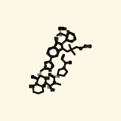 C=CC(=O)N1CC[C@H](C(=O)N(C)[C@H](C(=O)N[C@@H](Cn2cc(-c3ccc4c(c3)c(CC(C)(C)COC=O)c(-c3cccnc3[C@H](C)OC)n4CC)cn2)C(=O)N2CCCCN2)C(C)C)C1